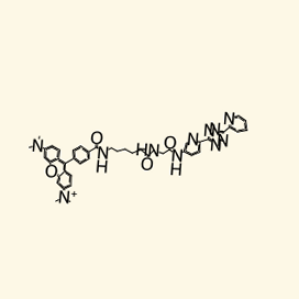 CN(C)c1ccc2c(-c3ccc(C(=O)NCCCCCC(=O)NCC(=O)Nc4ccc(-c5nnc(-c6ccccn6)nn5)nc4)cc3)c3ccc(=[N+](C)C)cc-3oc2c1